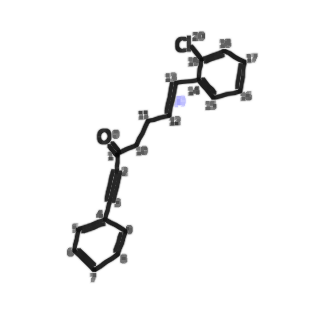 O=C(C#Cc1ccccc1)CC/C=C/c1ccccc1Cl